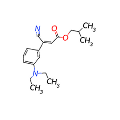 CCN(CC)c1cccc(C(C#N)=CC(=O)OCC(C)C)c1